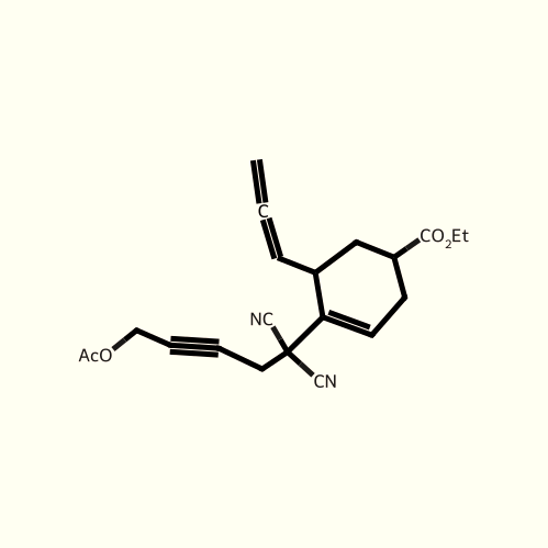 C=C=CC1CC(C(=O)OCC)CC=C1C(C#N)(C#N)CC#CCOC(C)=O